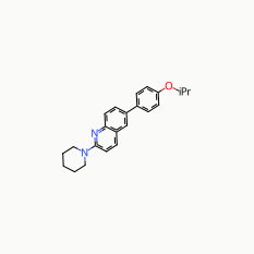 CC(C)Oc1ccc(-c2ccc3nc(N4CCCCC4)ccc3c2)cc1